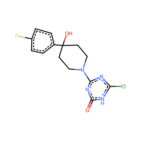 O=c1nc(N2CCC(O)(c3ccc(F)cc3)CC2)nc(Cl)[nH]1